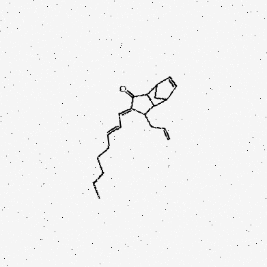 C=CCC1/C(=C\C=C\CCCCC)C(=O)C2C3C=CC(C3)C12